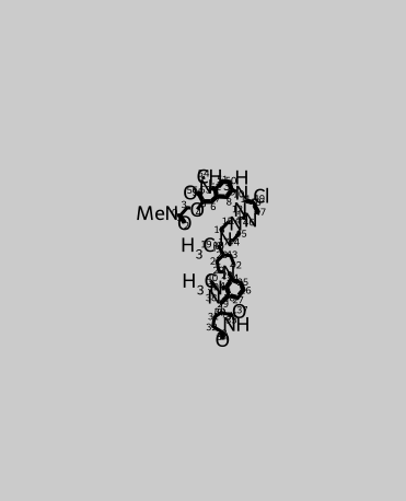 CNC(=O)COc1cc2cc(Nc3nc(N4CCN([C@@H](C)C5CCN(c6cccc7c([C@H]8CCC(=O)NC8=O)nn(C)c67)CC5)CC4)ncc3Cl)ccc2n(C)c1=O